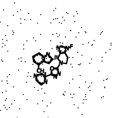 Cc1cccn2nc([C@@H]3c4ncn(F)c4CCN3c3nnc(-c4cnccn4)o3)cc12